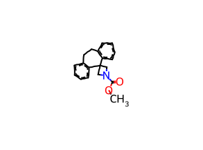 COC(=O)N1CC2(C1)c1ccccc1CCc1ccccc12